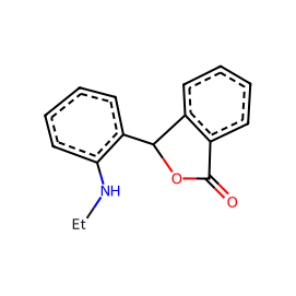 CCNc1ccccc1C1OC(=O)c2ccccc21